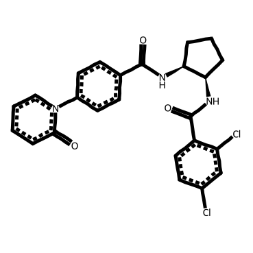 O=C(N[C@H]1CCC[C@H]1NC(=O)c1ccc(Cl)cc1Cl)c1ccc(-n2ccccc2=O)cc1